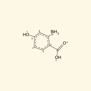 O=C(O)c1ccc(O)cc1.[BiH3]